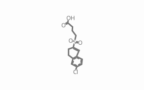 O=C(O)CCCS(=O)(=O)C1=Cc2ccc(Cl)cc2CC1